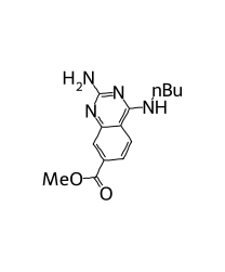 CCCCNc1nc(N)nc2cc(C(=O)OC)ccc12